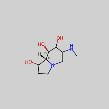 CNC1CN2CCC(O)[C@@H]2[C@@H](O)C1O